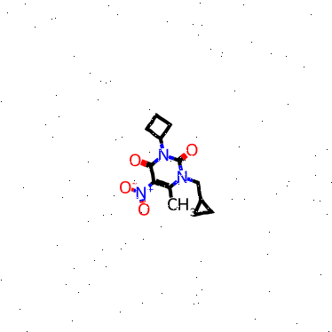 Cc1c([N+](=O)[O-])c(=O)n(C2CCC2)c(=O)n1CC1CC1